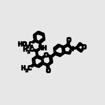 Cc1cc(C(C)Nc2ccccc2C(=O)O)c2oc(-c3ccc4c(c3)CN(C3COC3)C4=O)cc(=O)c2c1